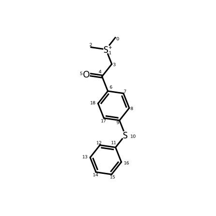 C[S+](C)CC(=O)c1ccc(Sc2ccccc2)cc1